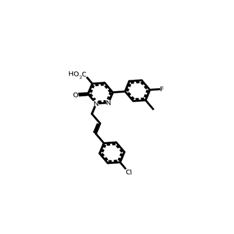 Cc1cc(-c2cc(C(=O)O)c(=O)n(CC=Cc3ccc(Cl)cc3)n2)ccc1F